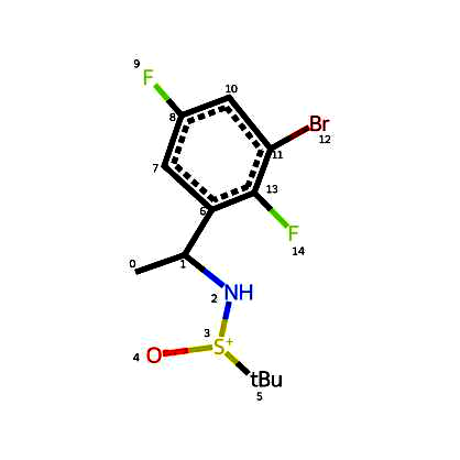 CC(N[S+]([O-])C(C)(C)C)c1cc(F)cc(Br)c1F